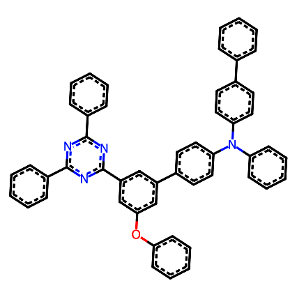 c1ccc(Oc2cc(-c3ccc(N(c4ccccc4)c4ccc(-c5ccccc5)cc4)cc3)cc(-c3nc(-c4ccccc4)nc(-c4ccccc4)n3)c2)cc1